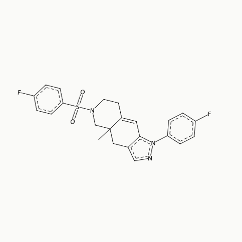 CC12Cc3cnn(-c4ccc(F)cc4)c3C=C1CCN(S(=O)(=O)c1ccc(F)cc1)C2